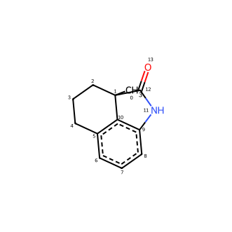 CC12CCCc3cccc(c31)NC2=O